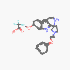 COc1ccc2c3c([nH]c2c1)C1(CCN(CCOc2ccccc2)C1)NCC3.O=C(O)C(F)(F)F